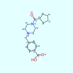 O=C(O)c1ccc(CN2CCN(C(=O)C3CCCC3)CC2)cc1